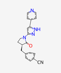 N#Cc1ccc(C[C@H]2CCN(c3cc(-c4ccncc4)[nH]n3)C2=O)cc1